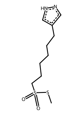 CSS(=O)(=O)CCCCCCc1cn[nH]c1